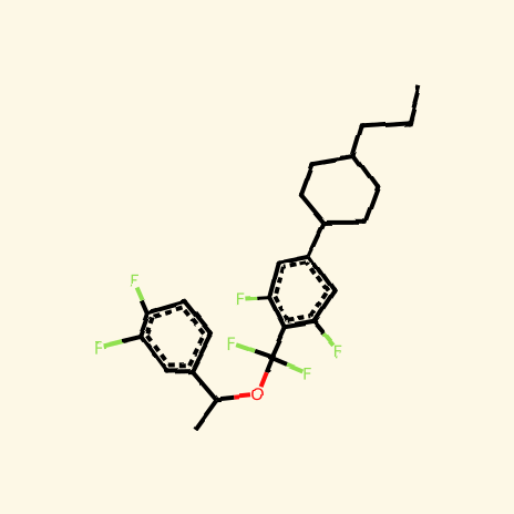 CCCC1CCC(c2cc(F)c(C(F)(F)OC(C)c3ccc(F)c(F)c3)c(F)c2)CC1